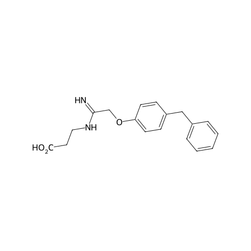 N=C(COc1ccc(Cc2ccccc2)cc1)NCCC(=O)O